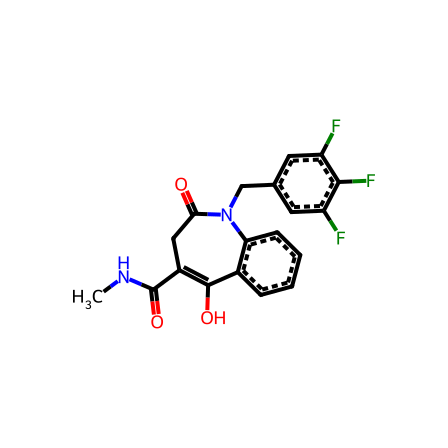 CNC(=O)C1=C(O)c2ccccc2N(Cc2cc(F)c(F)c(F)c2)C(=O)C1